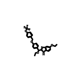 CCOc1ccc2[nH]c(C(OCC)c3ccc(OCc4ccc(OC(F)(F)F)cc4)cc3)nc2c1